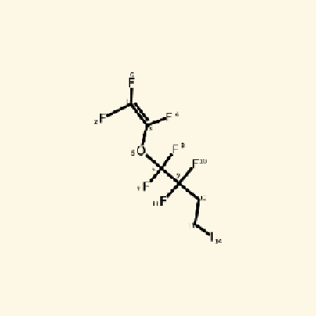 FC(F)=C(F)OC(F)(F)C(F)(F)CCI